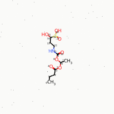 CCCC(=O)OC(C)OC(=O)NCCC(O)S(=O)O